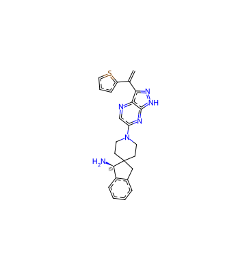 C=C(c1cccs1)c1n[nH]c2nc(N3CCC4(CC3)Cc3ccccc3[C@H]4N)cnc12